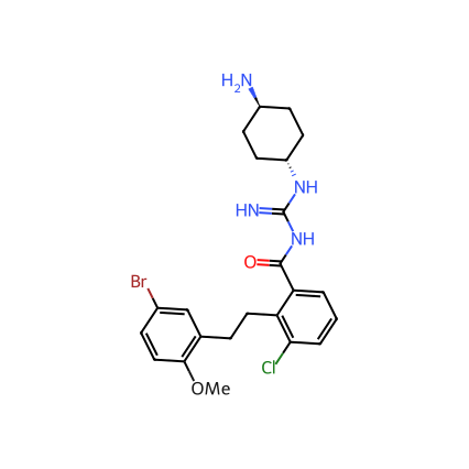 COc1ccc(Br)cc1CCc1c(Cl)cccc1C(=O)NC(=N)N[C@H]1CC[C@H](N)CC1